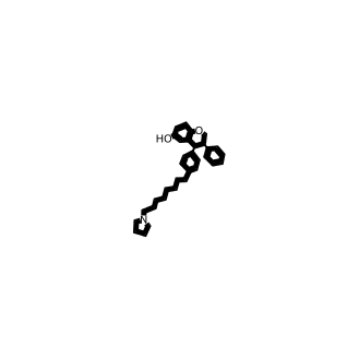 Oc1ccc2c(c1)[C@H](c1ccc(CCCCCCCCN3CCCC3)cc1)[C@H](c1ccccc1)CO2